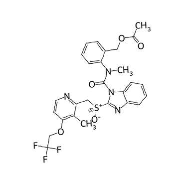 CC(=O)OCc1ccccc1N(C)C(=O)n1c([S@+]([O-])Cc2nccc(OCC(F)(F)F)c2C)nc2ccccc21